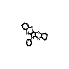 c1ccc(-n2c3c(c4c2=Nc2ccccc2S4)Sc2ccccc2N=3)cc1